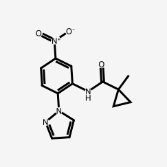 CC1(C(=O)Nc2cc([N+](=O)[O-])ccc2-n2cccn2)CC1